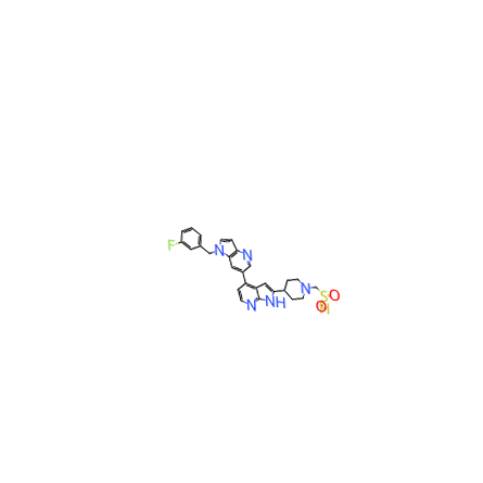 O=[SH](=O)CN1CCC(c2cc3c(-c4cnc5ccn(Cc6cccc(F)c6)c5c4)ccnc3[nH]2)CC1